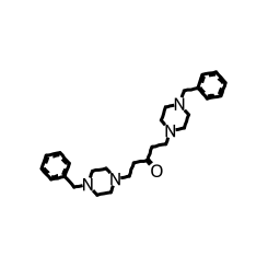 O=C(CCN1CCN(Cc2ccccc2)CC1)CCN1CCN(Cc2ccccc2)CC1